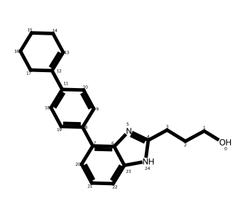 OCCCc1nc2c(-c3ccc(C4=CCCCC4)cc3)cccc2[nH]1